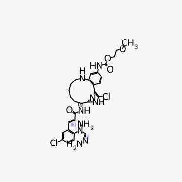 COCCOC(=O)Nc1ccc2c(c1)NCCCCC[C@H](NC(=O)/C=C/c1cc(Cl)ccc1N(N)/C=N\N)c1nc-2c(Cl)[nH]1